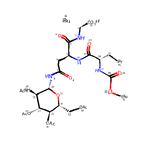 CC[C@H](C)[C@H](NC(=O)[C@H](CC(=O)N[C@@H]1O[C@H](COC(C)=O)[C@@H](OC(C)=O)[C@H](OC(C)=O)[C@H]1NC(C)=O)NC(=O)[C@H](CC(C)C)NC(=O)OC(C)(C)C)C(=O)O